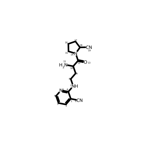 N#Cc1cccnc1NCCC(N)C(=O)N1CCCC1C#N